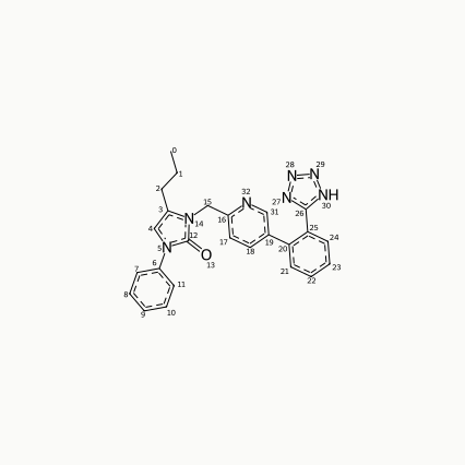 CCCc1cn(-c2ccccc2)c(=O)n1Cc1ccc(-c2ccccc2-c2nnn[nH]2)cn1